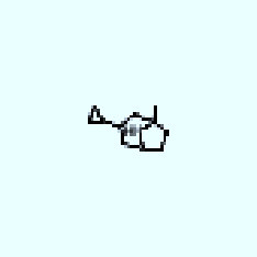 CC12CCC(CC(C3CC3)C1)N2